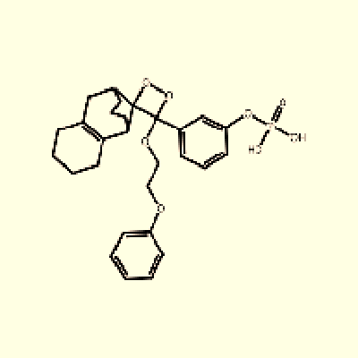 O=P(O)(O)Oc1cccc(C2(OCCOc3ccccc3)OOC23C2CCCC3C3=C(CCCC3)C2)c1